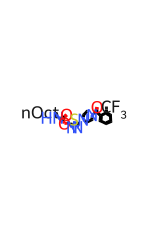 CCCCCCCCNC(=O)Oc1nnc(N2CCN(C(=O)c3ccccc3C(F)(F)F)CC2)s1